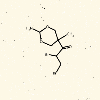 CC1(C(=O)C(Br)CBr)COC(N)OC1